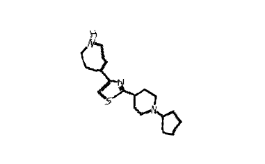 c1sc(C2CCN(C3CCCC3)CC2)nc1C1CCNCC1